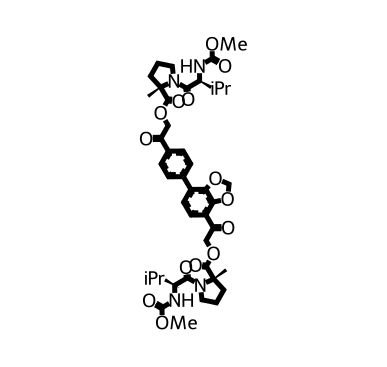 COC(=O)N[C@H](C(=O)N1CCC[C@@]1(C)C(=O)OCC(=O)c1ccc(-c2ccc(C(=O)COC(=O)[C@]3(C)CCCN3C(=O)[C@@H](NC(=O)OC)C(C)C)c3c2OCO3)cc1)C(C)C